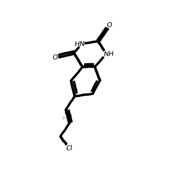 O=c1[nH]c(=O)c2cc(/C=C/CCl)ccc2[nH]1